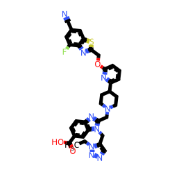 CCn1nncc1Cn1c(CN2CCC(c3cccc(OCc4nc5c(F)cc(C#N)cc5s4)n3)CC2)nc2ccc(C(=O)O)cc21